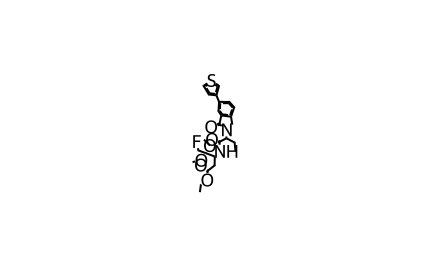 CCOC(=O)CC(NC(=O)C(CC)N1Cc2ccc(-c3ccsc3)cc2C1=O)C(CF)(OC)OC